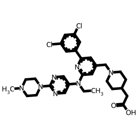 CCN(c1cnc(N2CCN(C)CC2)nc1)c1cc(CN2CCC(CC(=O)O)CC2)cc(-c2cc(Cl)cc(Cl)c2)n1